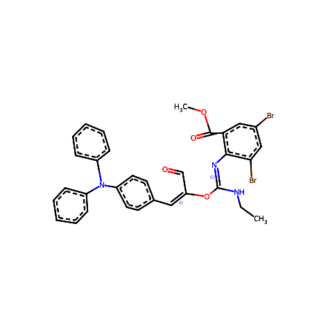 CCN/C(=N\c1c(Br)cc(Br)cc1C(=O)OC)O/C(C=O)=C/c1ccc(N(c2ccccc2)c2ccccc2)cc1